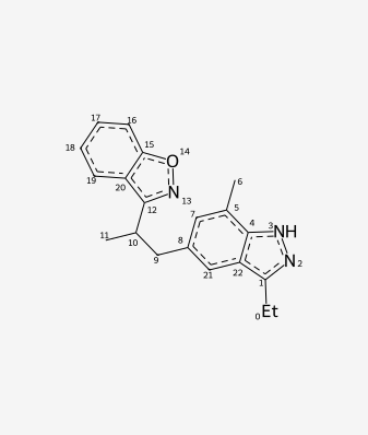 CCc1n[nH]c2c(C)cc(CC(C)c3noc4ccccc34)cc12